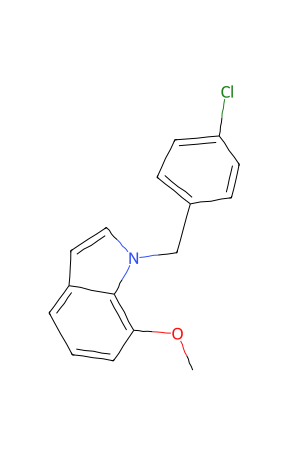 COc1cccc2ccn(Cc3ccc(Cl)cc3)c12